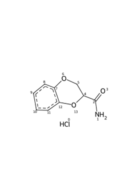 Cl.NC(=O)C1COc2ccccc2O1